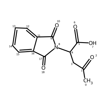 CC(=O)CC(C(=O)O)N1C(=O)c2ccccc2C1=O